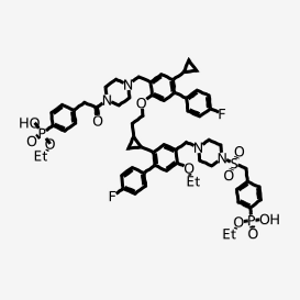 CCOc1cc(-c2ccc(F)cc2)c(C2CC2CCOc2cc(-c3ccc(F)cc3)c(C3CC3)cc2CN2CCN(C(=O)Cc3ccc(P(=O)(O)OCC)cc3)CC2)cc1CN1CCN(S(=O)(=O)Cc2ccc(P(=O)(O)OCC)cc2)CC1